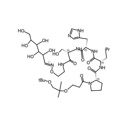 CC(C)C[C@H](NC(=O)[C@@H]1CCCN1C(=O)CCOC(C)(C)COC(C)(C)C)C(=O)N[C@@H](Cc1cnc[nH]1)C(=O)N[C@@H](CO)C(=O)NCCO/N=C/C(O)C(O)C(O)C(O)CO